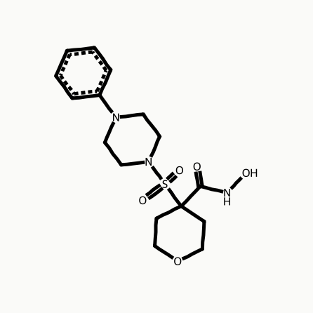 O=C(NO)C1(S(=O)(=O)N2CCN(c3ccccc3)CC2)CCOCC1